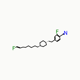 N#Cc1ccc(CC[C@H]2CC[C@H](CCCCCCC=CF)CC2)cc1F